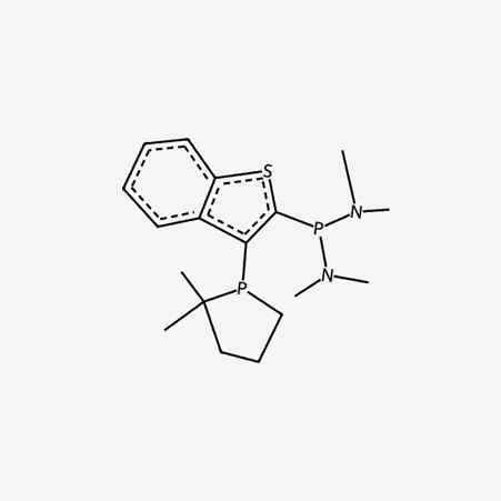 CN(C)P(c1sc2ccccc2c1P1CCCC1(C)C)N(C)C